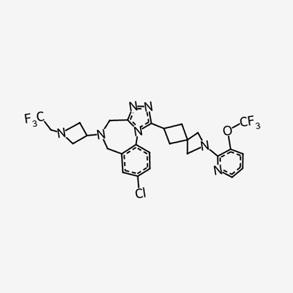 FC(F)(F)CN1CC(N2Cc3cc(Cl)ccc3-n3c(nnc3C3CC4(C3)CN(c3ncccc3OC(F)(F)F)C4)C2)C1